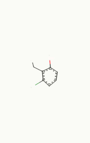 CCOC(=O)Cc1c(O)cccc1F